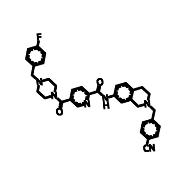 N#Cc1ccc(CN2CCc3ccc(NC(=O)c4ccc(C(=O)N5CCN(Cc6ccc(F)cc6)CC5)cn4)cc3C2)cc1